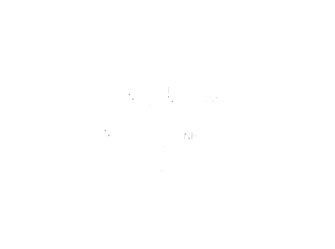 C=C1NC(=O)Nc2ncncc21